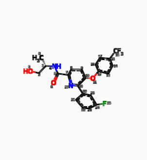 C[C@@H](CO)NC(=O)c1ccc(Oc2ccc(C(F)(F)F)cc2)c(-c2cccc(F)c2)n1